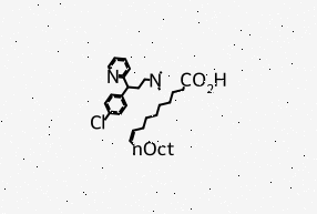 CCCCCCCC/C=C\CCCCCCCC(=O)O.CN(C)CCC(c1ccc(Cl)cc1)c1ccccn1